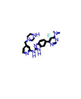 CN(C)c1ncnc(-c2ccc3nc(Nc4cc(CN5CCNCC5)ccn4)[nH]c3c2)c1F